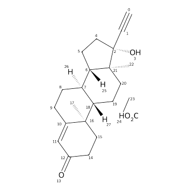 C#C[C@]1(O)CC[C@H]2[C@@H]3CCC4=CC(=O)CC[C@]4(C)[C@H]3CC[C@@]21C.CC(=O)O